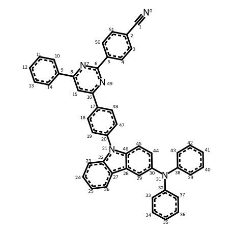 N#Cc1ccc(-c2nc(-c3ccccc3)cc(-c3ccc(-n4c5ccccc5c5cc(N(c6ccccc6)c6ccccc6)ccc54)cc3)n2)cc1